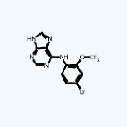 FC(F)(F)Oc1cc(Br)ccc1Nc1ncnc2[nH]cnc12